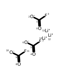 O=C([O-])F.O=C([O-])F.O=C([O-])F.[Li+].[Li+].[Li+]